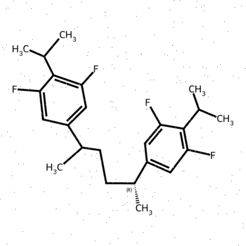 CC(C)c1c(F)cc(C(C)CC[C@@H](C)c2cc(F)c(C(C)C)c(F)c2)cc1F